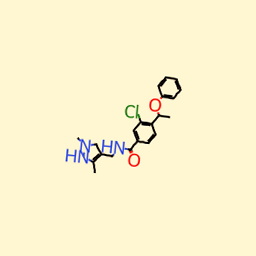 CC1=C(CNC(=O)c2ccc(C(C)Oc3ccccc3)c(Cl)c2)CN(C)N1